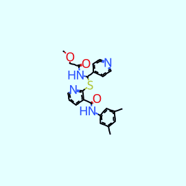 COCC(=O)NC(Sc1ncccc1C(=O)Nc1cc(C)cc(C)c1)c1ccncc1